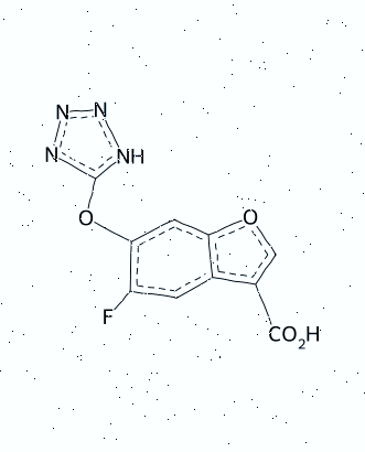 O=C(O)c1coc2cc(Oc3nnn[nH]3)c(F)cc12